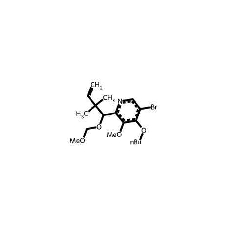 C=CC(C)(C)C(OCOC)c1ncc(Br)c(OCCCC)c1OC